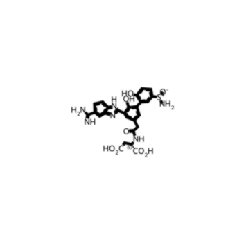 N=C(N)c1ccc2[nH]c(-c3cc(CC(=O)N[C@@H](CC(=O)O)C(=O)O)cc(-c4cc([S+](N)[O-])ccc4O)c3O)nc2c1